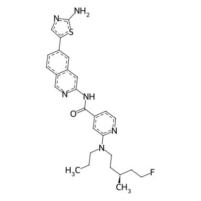 CCCN(CC[C@H](C)CCF)c1cc(C(=O)Nc2cc3cc(-c4cnc(N)s4)ccc3cn2)ccn1